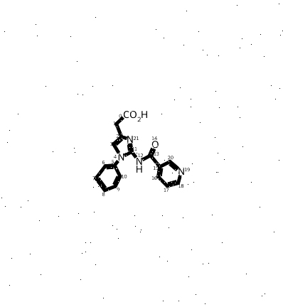 O=C(O)Cc1cn(-c2ccccc2)c(NC(=O)c2cccnc2)n1